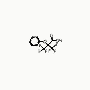 O=C(O)C(Oc1ccccc1)(C(F)(F)F)C(F)(F)F